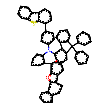 c1ccc(C2(c3ccccc3)c3ccccc3-c3c(N(c4ccc(-c5cccc6c5sc5ccccc56)cc4)c4ccccc4-c4cccc5c4oc4c6ccccc6ccc54)cccc32)cc1